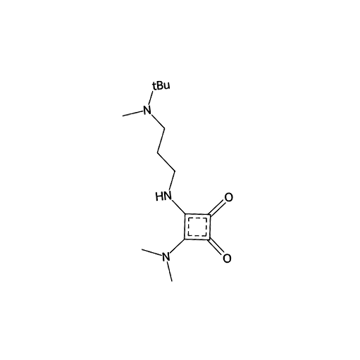 CN(C)c1c(NCCCN(C)C(C)(C)C)c(=O)c1=O